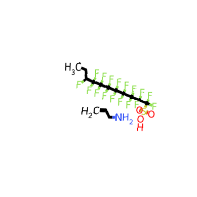 C=CCN.CCC(F)C(F)(F)C(F)(F)C(F)(F)C(F)(F)C(F)(F)C(F)(F)C(F)(F)C(F)(F)S(=O)(=O)O